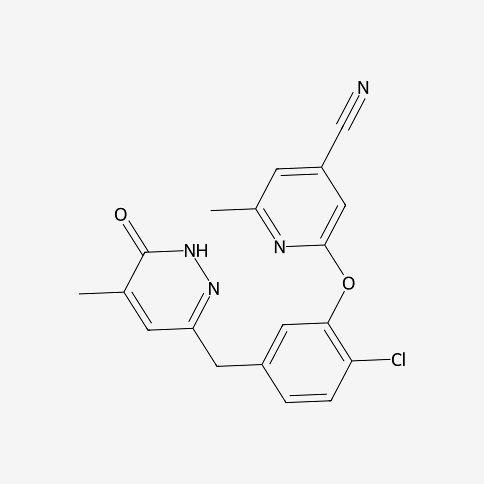 Cc1cc(C#N)cc(Oc2cc(Cc3cc(C)c(=O)[nH]n3)ccc2Cl)n1